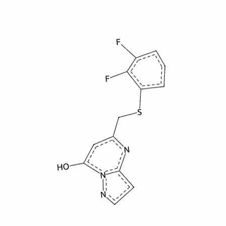 Oc1cc(CSc2cccc(F)c2F)nc2ccnn12